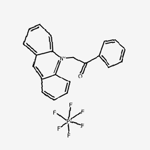 F[P-](F)(F)(F)(F)F.O=C(C[n+]1c2ccccc2cc2ccccc21)c1ccccc1